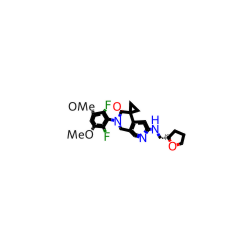 COc1cc(OC)c(F)c(N2Cc3cnc(NC[C@@H]4CCCO4)cc3C3(CC3)C2=O)c1F